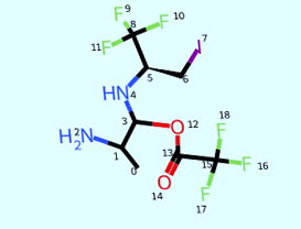 CC(N)C(N[C@H](CI)C(F)(F)F)OC(=O)C(F)(F)F